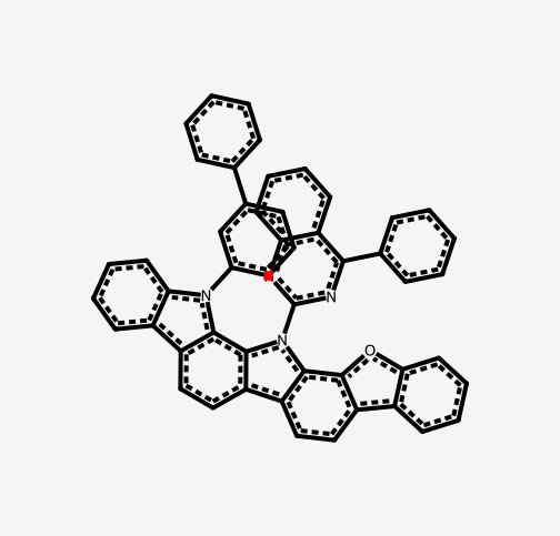 c1ccc(-c2cccc(-n3c4ccccc4c4ccc5c6ccc7c8ccccc8oc7c6n(-c6nc(-c7ccccc7)c7ccccc7n6)c5c43)c2)cc1